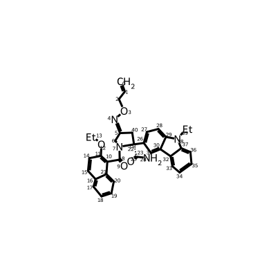 C=CCON=C1CN(C(=O)c2c(OCC)ccc3ccccc23)[C@](C(N)=O)(c2ccc3c(c2)c2ccccc2n3CC)C1